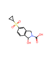 O=C(O)N1Cc2cc(S(=O)(=O)C3CC3)ccc2C1O